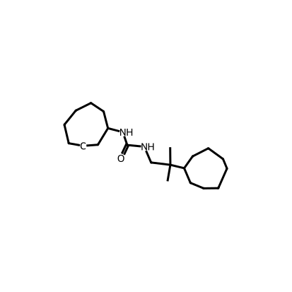 CC(C)(CNC(=O)NC1CCCCCCC1)C1CCCCCCC1